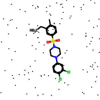 Cc1ccc(S(=O)(=O)N2CCN(c3ccc(Cl)c(Cl)c3)CC2)cc1CC(=O)O